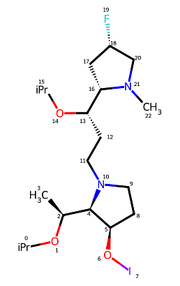 CC(C)O[C@@H](C)[C@@H]1[C@H](OI)CCN1CC[C@H](OC(C)C)[C@@H]1C[C@H](F)CN1C